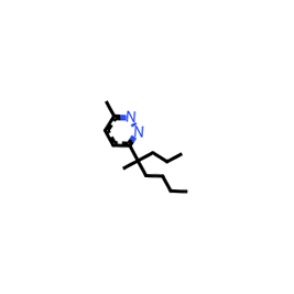 CCCCC(C)(CCC)c1ccc(C)nn1